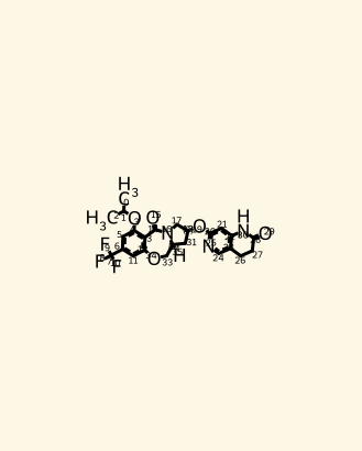 CC(C)Oc1cc(C(F)(F)F)cc2c1C(=O)N1C[C@@H](Oc3cc4c(cn3)CCC(=O)N4)C[C@@H]1CO2